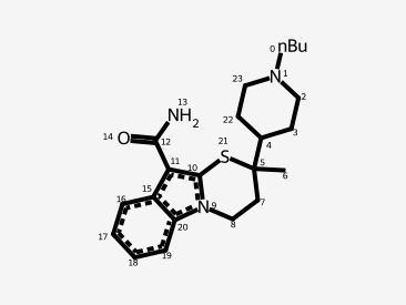 CCCCN1CCC(C2(C)CCn3c(c(C(N)=O)c4ccccc43)S2)CC1